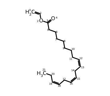 C=COC(=O)CCCCCCC/C=C\C/C=C\C/C=C\CC